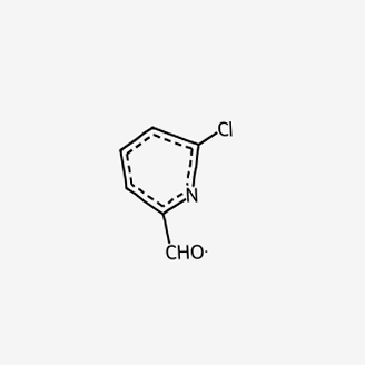 O=[C]c1cccc(Cl)n1